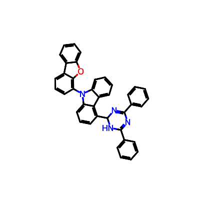 c1ccc(C2=NC(c3cccc4c3c3ccccc3n4-c3cccc4c3oc3ccccc34)NC(c3ccccc3)=N2)cc1